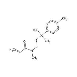 C=CC(=O)N(C)CCC(C)(C)c1ccc(C)cc1